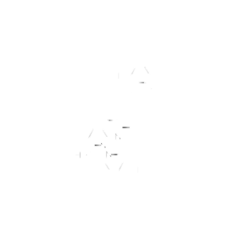 Cc1ccc2cc(C3CCC(c4c(C)cccc4F)CC3)c(=O)n(Cc3ncccc3C(F)F)c2n1